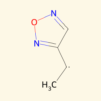 C[CH]c1cnon1